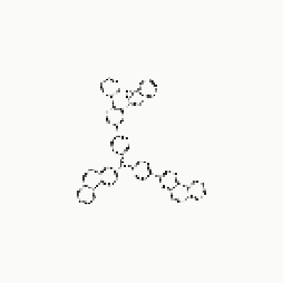 c1ccc(-c2ccc(-c3ccc(N(c4ccc(-c5ccc6c(ccc7ccccc76)c5)cc4)c4ccc5c(ccc6ccccc65)c4)cc3)cc2-c2cc3ccccc3o2)cc1